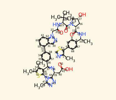 Cc1ncsc1-c1ccc([C@H](C)NC(=O)[C@@H]2C[C@@H](O)CN2C(=O)[C@@H](NC(=O)Cn2ncc3c(-c4ccc(C5=N[C@@H](CC(=O)O)c6nnc(C)n6-c6sc(C)c(C)c65)cc4)cccc32)C(C)(C)C)cc1